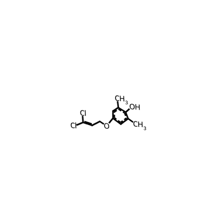 Cc1cc(OCC=C(Cl)Cl)cc(C)c1O